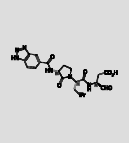 CC(C)C[C@@H](C(=O)N[C@H](C=O)CC(=O)O)N1CC[C@@H](NC(=O)c2ccc3[nH]nnc3c2)C1=O